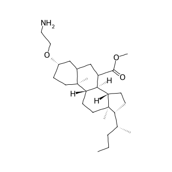 CCC[C@@H](C)[C@H]1CC[C@H]2[C@@H]3C(C(=O)OC)CC4C[C@@H](OCCN)CC[C@]4(C)[C@H]3CC[C@]12C